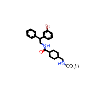 O=C(O)NCC1CCC(C(=O)NCC(c2ccccc2)c2cccc(Br)c2)CC1